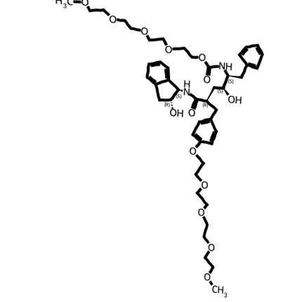 COCCOCCOCCOCCOC(=O)N[C@@H](Cc1ccccc1)[C@@H](O)C[C@@H](Cc1ccc(OCCOCCOCCOCCOC)cc1)C(=O)N[C@H]1c2ccccc2C[C@H]1O